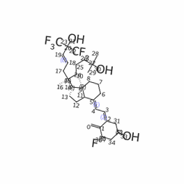 C=C1/C(=C\C=C2/CCC[C@@]3(C)C2CC[C@@H]3[C@@](C)(C/C=C/C(O)(C(F)(F)F)C(F)(F)F)CCCC(C)(C)O)C[C@@H](O)C[C@@H]1F